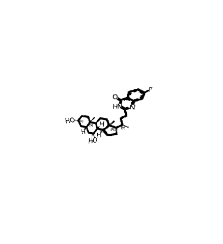 C[C@H](CCc1nc2cc(F)ccc2c(=O)[nH]1)[C@H]1CC[C@H]2[C@H]3C(CC[C@]12C)[C@@]1(C)CC[C@@H](O)C[C@H]1C[C@H]3O